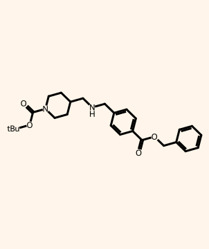 CC(C)(C)OC(=O)N1CCC(CNCc2ccc(C(=O)OCc3ccccc3)cc2)CC1